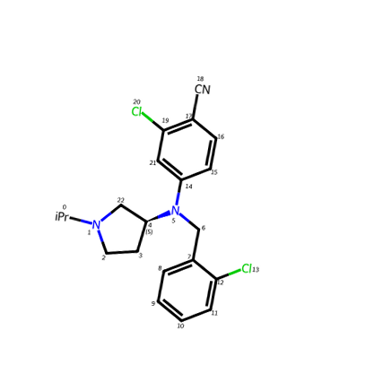 CC(C)N1CC[C@H](N(Cc2ccccc2Cl)c2ccc(C#N)c(Cl)c2)C1